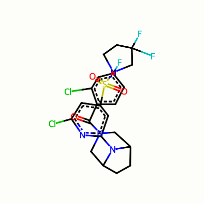 O=C(c1ccc(F)cc1Cl)N1CC2CCC(C1)N2c1cc(S(=O)(=O)N2CCC(F)(F)C2)cc(Cl)n1